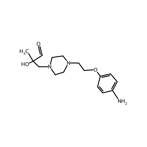 CC(O)(C=O)CN1CCN(CCOc2ccc(N)cc2)CC1